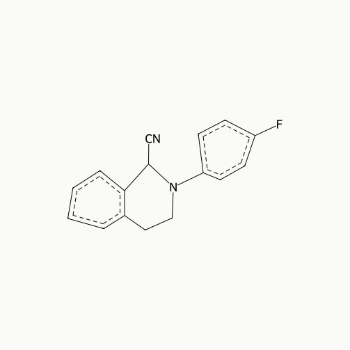 N#CC1c2ccccc2CCN1c1ccc(F)cc1